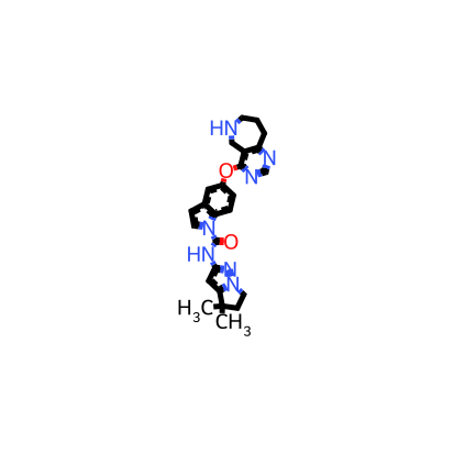 CC1(C)CCn2nc(NC(=O)n3ccc4cc(Oc5ncnc6c5CNCCC6)ccc43)cc21